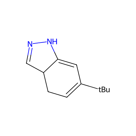 CC(C)(C)C1=CCC2C=NNC2=C1